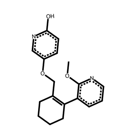 COc1ncccc1C1=C(COc2ccc(O)nc2)CCCC1